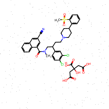 CN(CC(CCN1CCC(c2ccccc2S(C)(=O)=O)CC1)c1ccc(Cl)c(Cl)c1)C(=O)c1cc(C#N)cc2ccccc12.O=C(O)CC(O)(CC(=O)O)C(=O)O